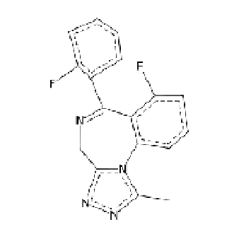 Cc1nnc2n1-c1cccc(F)c1C(c1ccccc1F)=NC2